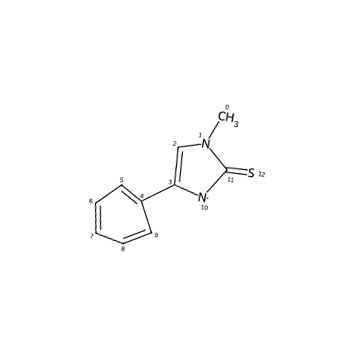 CN1C=C(c2ccccc2)[N]C1=S